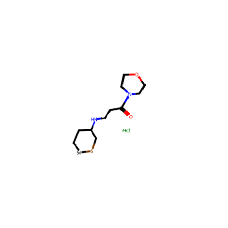 Cl.O=C(CCNC1CC[Se]SC1)N1CCOCC1